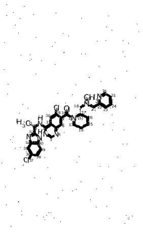 C[C@H](Nc1ncnc2cc(C(=O)N3CCCC[C@H]3CN(C)Cc3ccccn3)c(Cl)cc12)c1nc2cc(Cl)ccc2[nH]1